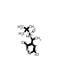 CC(N[S@@+]([O-])C(C)(C)C)c1cc(Cl)nnc1Cl